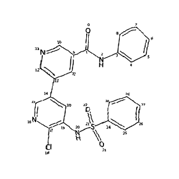 O=C(Nc1ccccc1)c1cncc(-c2cnc(Cl)c(NS(=O)(=O)c3ccccc3)c2)c1